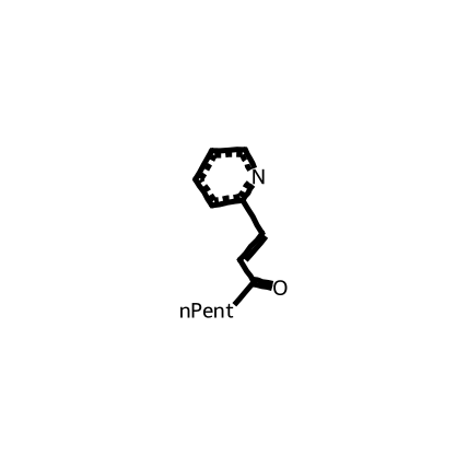 CCCCCC(=O)C=Cc1ccccn1